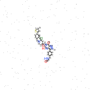 Cc1csc(-c2ccc(CN3CCC(O)(Cn4cnc5c(-c6ccc(CNC=O)cc6)n(C)nc5c4=O)CC3)c(Cl)c2)c1